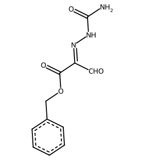 NC(=O)N/N=C(\C=O)C(=O)OCc1ccccc1